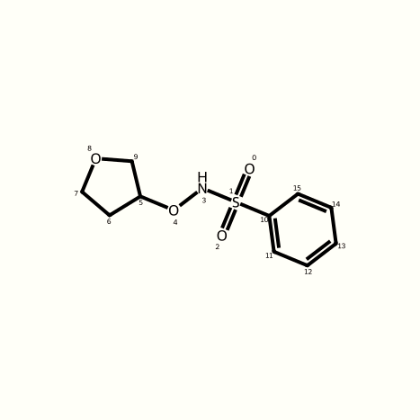 O=S(=O)(NOC1CCOC1)c1ccccc1